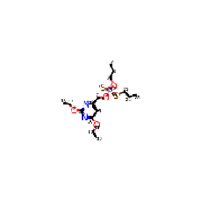 CCCO[P@@](=S)(OCc1cc(OCC)nc(OCC)n1)SCCC